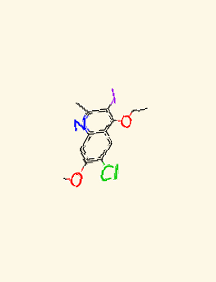 CCOc1c(I)c(C)nc2cc(OC)c(Cl)cc12